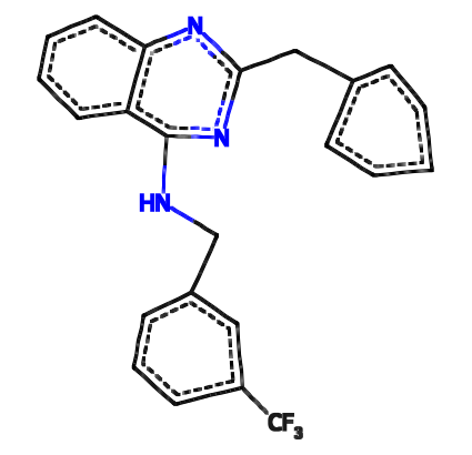 FC(F)(F)c1cccc(CNc2nc(Cc3ccccc3)nc3ccccc23)c1